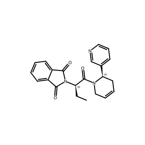 CC[C@H](C(=O)N1CC=CC[C@@H]1c1cccnc1)N1C(=O)c2ccccc2C1=O